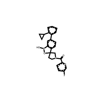 O=C(c1ccc(F)cn1)N1CCC2(C1)OB(O)c1cc(-c3ccccc3C3CC3)ccc12